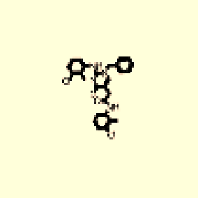 Cc1c(Cl)cccc1NC(=O)Cc1cn(Cc2ccccc2)c(Nc2cccc(Cl)c2C)nc1=O